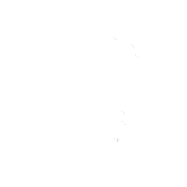 COc1cc(CC(O)Nc2nnc(CCCCc3ccc(NC(=O)Cc4ccccc4)nn3)s2)ccc1O